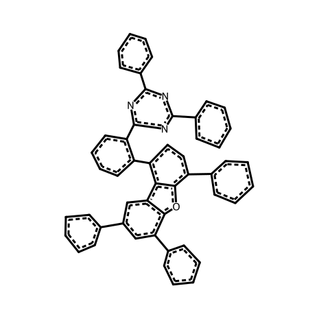 c1ccc(-c2cc(-c3ccccc3)c3oc4c(-c5ccccc5)ccc(-c5ccccc5-c5nc(-c6ccccc6)nc(-c6ccccc6)n5)c4c3c2)cc1